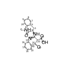 CNC(=O)C(Cc1ccccc1)NC1=Nc2ccccc2C(=O)C1C(=O)O